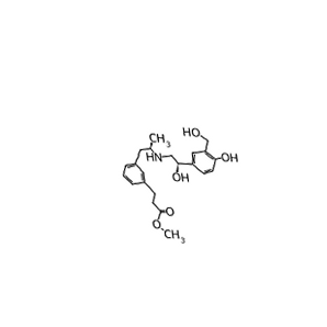 COC(=O)CCc1cccc(C[C@@H](C)NC[C@H](O)c2ccc(O)c(CO)c2)c1